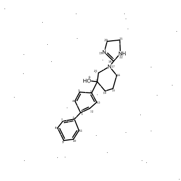 OC1(c2ccc(-c3ccccc3)cc2)CCCN(C2=NCCN2)C1